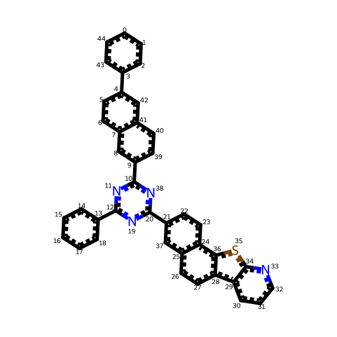 c1ccc(-c2ccc3cc(-c4nc(-c5ccccc5)nc(-c5ccc6c(ccc7c8cccnc8sc67)c5)n4)ccc3c2)cc1